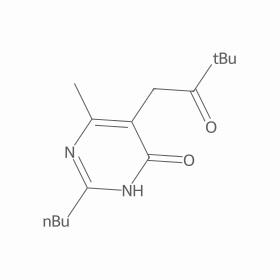 CCCCc1nc(C)c(CC(=O)C(C)(C)C)c(=O)[nH]1